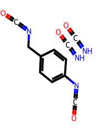 N=C=O.N=C=O.O=C=NCc1ccc(N=C=O)cc1